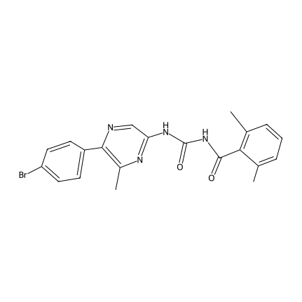 Cc1cccc(C)c1C(=O)NC(=O)Nc1cnc(-c2ccc(Br)cc2)c(C)n1